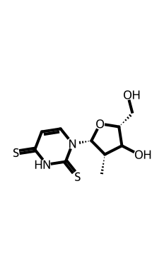 C[C@H]1C(O)[C@@H](CO)O[C@H]1n1ccc(=S)[nH]c1=S